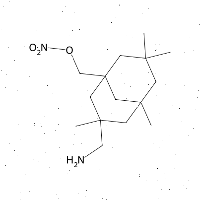 CC1(C)CC2(C)CC(C)(CN)CC(CO[N+](=O)[O-])(C1)C2